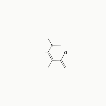 C=C(Cl)/C(C)=C(/C)N(C)C